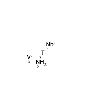 N.[Nb].[Ti].[V]